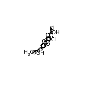 COC[C@H](O)COc1ccc(S(=O)(=O)c2cc(Cl)c(OC[C@@H](O)CCl)c(Cl)c2)cc1